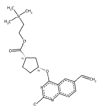 C=Cc1ccc2nc(Cl)nc(O[C@@H]3CC[C@H](C(=O)OCC[Si](C)(C)C)C3)c2c1